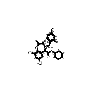 CC1Oc2c(Cl)cc(Cl)cc2C(C(=O)NC2CCCCC2)N(Cc2ccc(Cl)cc2F)C1=O